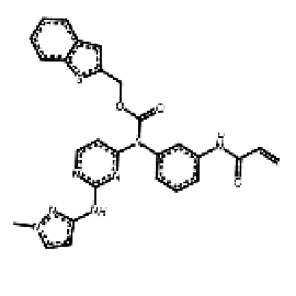 C=CC(=O)Nc1cccc(N(C(=O)OCc2cc3ccccc3s2)c2ccnc(Nc3ccn(C)n3)n2)c1